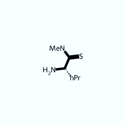 [CH2]NC(=S)[C@@H](N)CCC